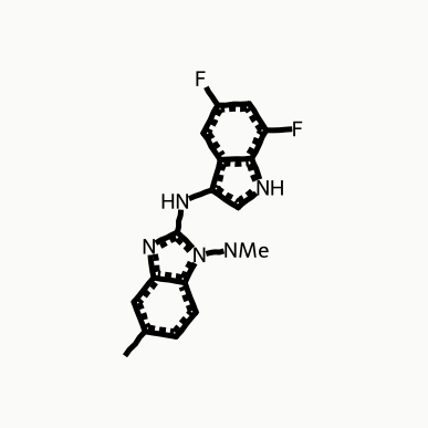 CNn1c(Nc2c[nH]c3c(F)cc(F)cc23)nc2cc(C)ccc21